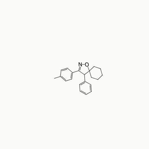 Cc1ccc(C2=NOC3(CCCCC3)C2c2ccccc2)cc1